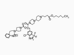 CCCCCCOC(=O)CCCN1CCC(N2CCN(C(=O)[C@@H](Cc3cc(Cl)c(N)c(C(F)(F)F)c3)OC(=O)N3CCC(N4CCc5ccccc5NC4=O)CC3)CC2)CC1